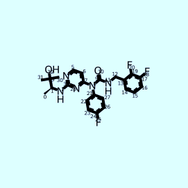 C[C@H](Nc1nccc(N(C(=O)NCc2cccc(F)c2F)c2ccc(F)cc2)n1)C(C)(C)O